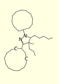 CCCCCC1N(C2CCCCCCCCCCC2)N=C(C2CCCCCCCCCCCC2)C1(C)CCC